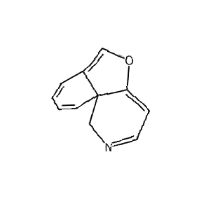 C1=CC2=COC3=CC=NCC23C=C1